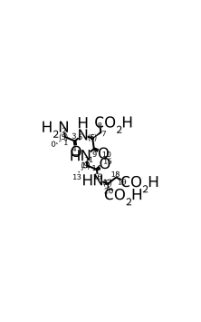 C[C@H](N)C(=O)N[C@@H](CC(=O)O)C(=O)N[C@@H](C)C(=O)N[C@@H](CC(=O)O)C(=O)O